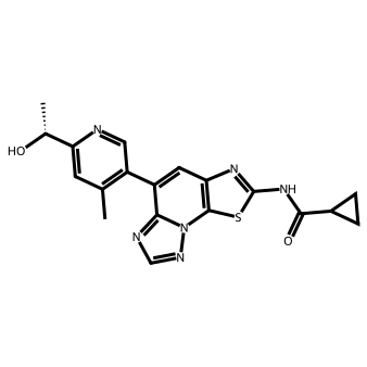 Cc1cc([C@@H](C)O)ncc1-c1cc2nc(NC(=O)C3CC3)sc2n2ncnc12